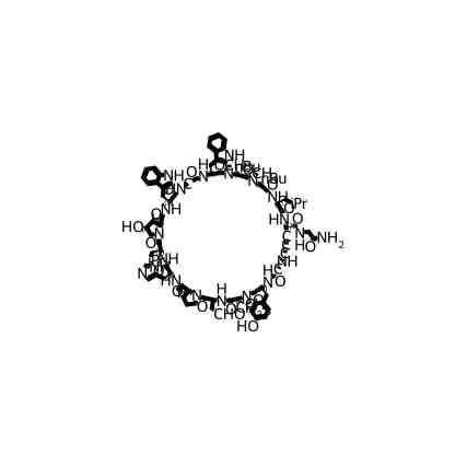 CCCC[C@H]1C(=O)N(C)[C@@H](CCCC)C(=O)N[C@@H](CC(C)C)C(=O)N[C@H](C(=O)NCC(N)=O)CCCNCC(=O)N[C@@H](Cc2ccc(O)cc2)C(=O)N(C)[C@@H](C)C(=O)NC(CC=O)C(=O)N2CCC[C@H]2C(=O)N[C@@H](Cc2cnc[nH]2)C(=O)N[C@@H](CC(C)C)C(=O)N2C[C@H](O)C[C@H]2C(=O)N[C@@H](Cc2c[nH]c3ccccc23)C(=O)NCC(=O)N[C@@H](Cc2c[nH]c3ccccc23)C(=O)N1C